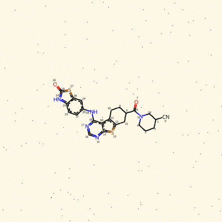 N#CC1CCCN(C(=O)C2CCc3c(sc4ncnc(Nc5ccc6[nH]c(=O)sc6c5)c34)C2)C1